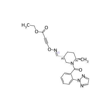 CCOC(=O)C#CO/N=C/[C@@H]1CC[C@@H](C)N(C(=O)c2ccccc2-n2nccn2)C1